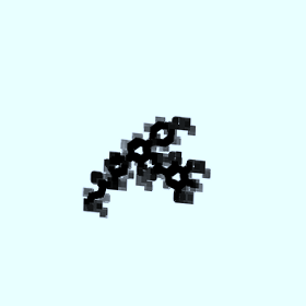 Cc1c(F)c(O)cc(C(=O)Nc2c(N3CCN(C)CC3)ccc(-n3cc(NC(=O)CCN)nn3)c2C)c1Cl